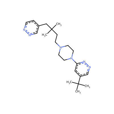 CC(C)(CCN1CCN(c2cc(C(C)(C)C)cnn2)CC1)Cc1ccnnc1